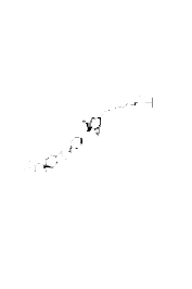 CCCCCCCc1cnc(-c2ccc(OCc3ccc(OC)cc3)cc2)nc1